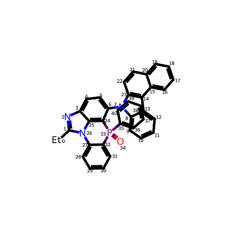 CCc1nc2ccc(-n3c4ccccc4c4c5ccccc5ccc43)c3c2n1-c1ccccc1P3(=O)c1ccccc1